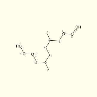 CC(CCC(C)COOO)COOO